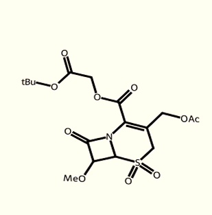 COC1C(=O)N2C(C(=O)OCC(=O)OC(C)(C)C)=C(COC(C)=O)CS(=O)(=O)C12